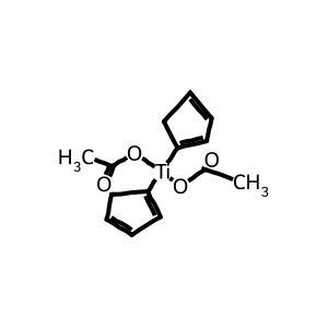 CC(=O)[O][Ti]([O]C(C)=O)([C]1=CC=CC1)[C]1=CC=CC1